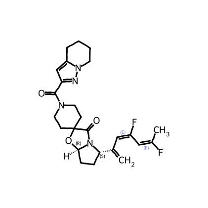 C=C(/C=C(F)\C=C(/C)F)[C@@H]1CC[C@H]2OC3(CCN(C(=O)c4cc5n(n4)CCCC5)CC3)C(=O)N21